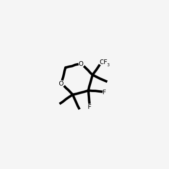 CC1(C)OCOC(C)(C(F)(F)F)C1(F)F